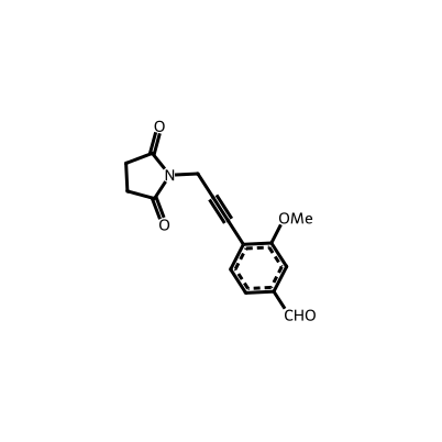 COc1cc(C=O)ccc1C#CCN1C(=O)CCC1=O